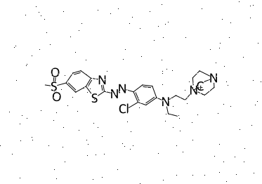 CCN(CC[N+]12CCN(CC1)CC2)c1ccc(/N=N/c2nc3ccc(S(C)(=O)=O)cc3s2)c(Cl)c1